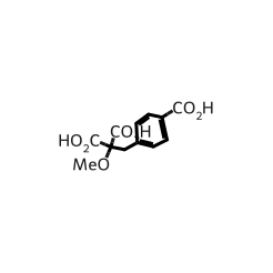 COC(Cc1ccc(C(=O)O)cc1)(C(=O)O)C(=O)O